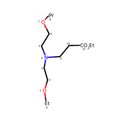 CCOCCN(CCOC(C)C)CCC(=O)OCC